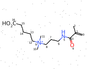 C=C(C)C(=O)NCCC[N+](C)(C)CCCCC(=O)O